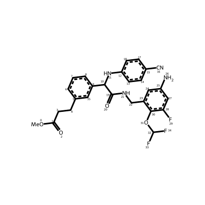 COC(=O)CCc1cccc(C(Nc2ccc(C#N)cc2)C(=O)NCc2cc(N)cc(F)c2OC(F)F)c1